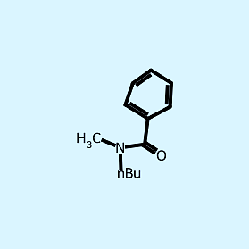 CCCCN(C)C(=O)c1ccccc1